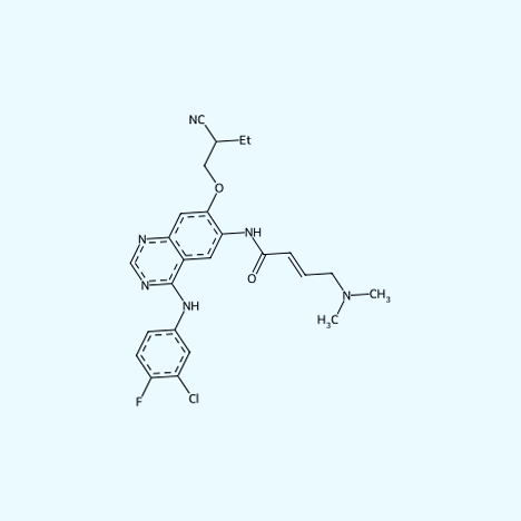 CCC(C#N)COc1cc2ncnc(Nc3ccc(F)c(Cl)c3)c2cc1NC(=O)/C=C/CN(C)C